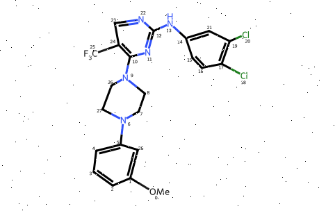 COc1cccc(N2CCN(c3nc(Nc4ccc(Cl)c(Cl)c4)ncc3C(F)(F)F)CC2)c1